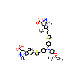 Cc1c(/C=C/c2ccc(-c3ccc(N(c4ccc(OC(C)C)cc4)c4ccc(-c5ccc(/C=C/c6cn(C)c(/C=C(\C#N)C(=O)O)c6C)s5)cc4)cc3)s2)cn(C)c1/C=C(\C#N)C(=O)O